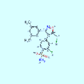 Cc1cc(C)cc(-c2noc(CF)c2-c2ccc(S(N)(=O)=O)c(F)c2)c1